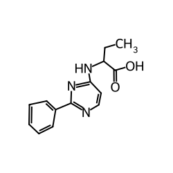 CCC(Nc1ccnc(-c2ccccc2)n1)C(=O)O